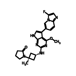 COc1nc(N[C@H]2C[C@](C)(N3CCCC3=O)C2)nc2[nH]cc(-c3ccc4ncc(F)n4c3)c12